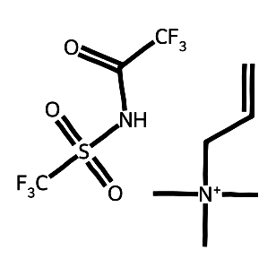 C=CC[N+](C)(C)C.O=C(NS(=O)(=O)C(F)(F)F)C(F)(F)F